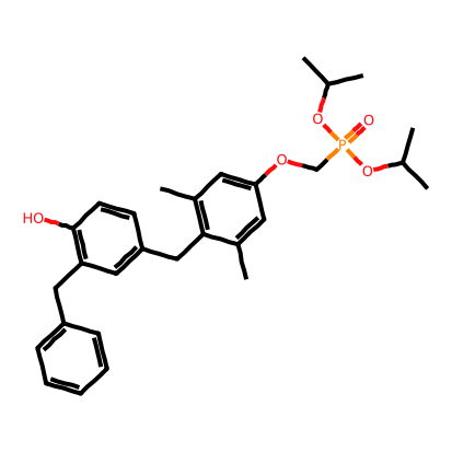 Cc1cc(OCP(=O)(OC(C)C)OC(C)C)cc(C)c1Cc1ccc(O)c(Cc2ccccc2)c1